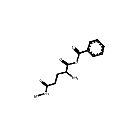 CCNC(=O)CCC(N)C(=O)OC(=O)c1ccccc1